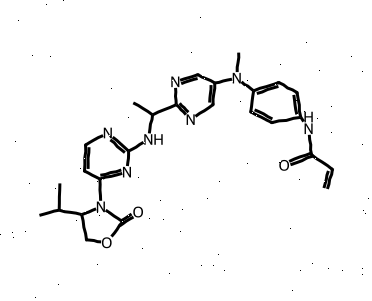 C=CC(=O)Nc1ccc(N(C)c2cnc(C(C)Nc3nccc(N4C(=O)OCC4C(C)C)n3)nc2)cc1